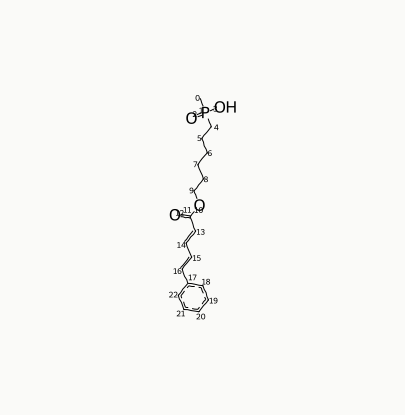 CP(=O)(O)CCCCCCOC(=O)/C=C/C=C/c1ccccc1